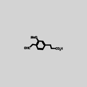 COc1cc(CCC(=O)O)ccc1CC=O